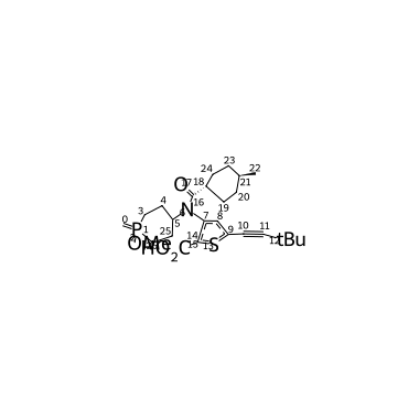 C=P1(OC)CCC(N(c2cc(C#CC(C)(C)C)sc2C(=O)O)C(=O)[C@H]2CC[C@H](C)CC2)CC1